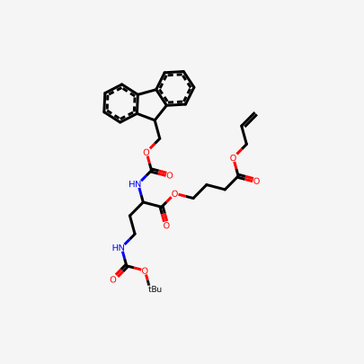 C=CCOC(=O)CCCOC(=O)C(CCNC(=O)OC(C)(C)C)NC(=O)OCC1c2ccccc2-c2ccccc21